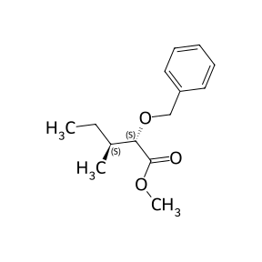 CC[C@H](C)[C@H](OCc1ccccc1)C(=O)OC